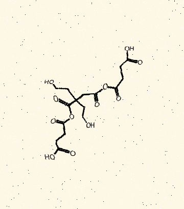 O=C(O)CCC(=O)OC(=O)CC(CCO)(CCO)C(=O)OC(=O)CCC(=O)O